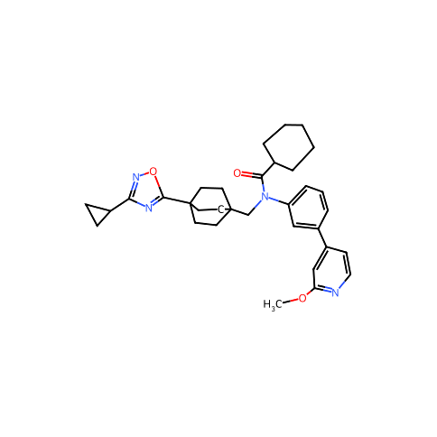 COc1cc(-c2cccc(N(CC34CCC(c5nc(C6CC6)no5)(CC3)CC4)C(=O)C3CCCCC3)c2)ccn1